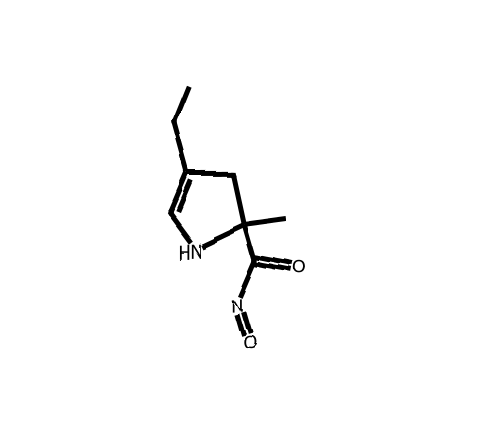 CCC1=CNC(C)(C(=O)N=O)C1